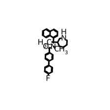 CN(C(=O)c1ccc(-c2ccc(F)cc2)cc1)C(C)(c1cccc2ccccc12)C1CCCCNC1